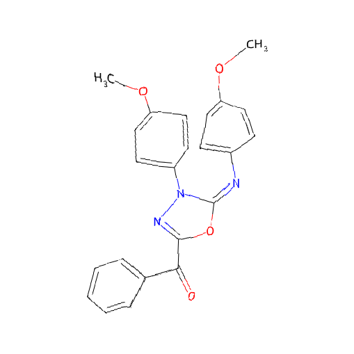 COc1ccc(/N=c2/oc(C(=O)c3ccccc3)nn2-c2ccc(OC)cc2)cc1